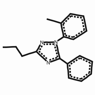 CCCc1nc(-c2ccccc2)n(-c2ccccc2C)n1